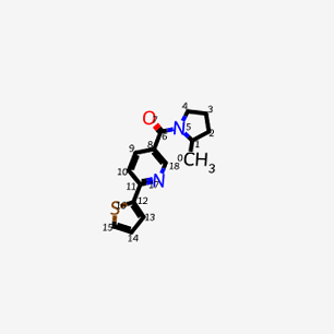 CC1CCCN1C(=O)c1ccc(-c2cccs2)nc1